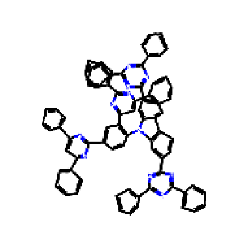 c1ccc(-c2cc(-c3ccccc3)nc(-c3ccc(-n4c5cc(-c6nc(-c7ccccc7)nc(-c7ccccc7)n6)ccc5c5ccc(-c6nc(-c7ccccc7)nc(-c7ccccc7)n6)cc54)c(-c4cc(-c5ccccc5)nc(-c5ccccc5)n4)c3)n2)cc1